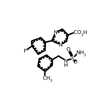 Cc1cccc(CNS(N)(=O)=O)c1.O=C(O)c1cnc(-c2ccc(F)cc2)nc1